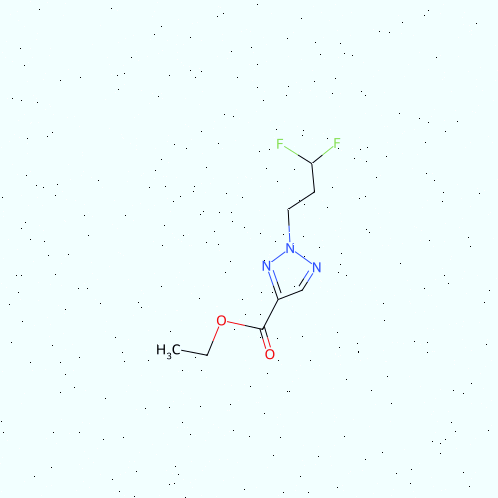 CCOC(=O)c1cnn(CCC(F)F)n1